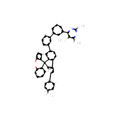 Cc1nc(C)c(C)c(-c2cccc(-c3cccc(-c4ccc5c(c4)C4(c6ccccc6Oc6ccccc64)c4cc(-c6ccc(C#N)cc6)ccc4-5)c3)c2)n1